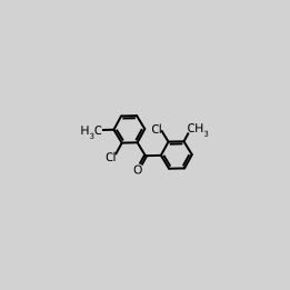 Cc1cccc(C(=O)c2cccc(C)c2Cl)c1Cl